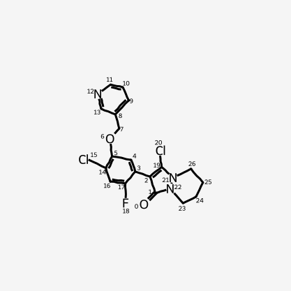 O=c1c(-c2cc(OCc3cccnc3)c(Cl)cc2F)c(Cl)n2n1CCCC2